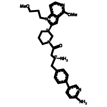 COCCCn1c([C@@H]2CCCN(C(=O)C[C@H](N)Cc3ccc(-c4ccc(N)nc4)cc3)C2)cc2c(OC)nccc21